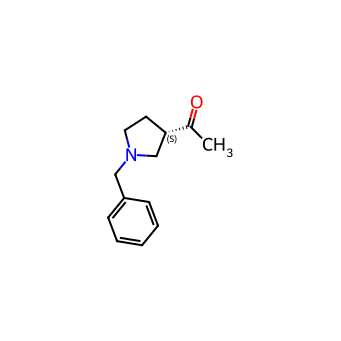 CC(=O)[C@H]1CCN(Cc2ccccc2)C1